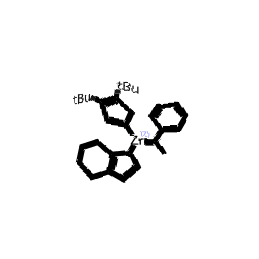 C/[C](c1ccccc1)=[Zr](/[C]1=CC(C(C)(C)C)=C(C(C)(C)C)C1)[CH]1C=CC2=C1CCCC2